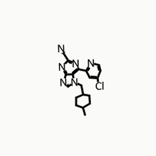 CC1CCC(Cn2cnc3nc(C#N)nc(-c4cc(Cl)ccn4)c32)CC1